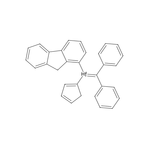 C1=CC[C]([Hf](=[C](c2ccccc2)c2ccccc2)[c]2cccc3c2Cc2ccccc2-3)=C1